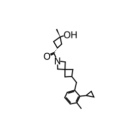 Cc1cccc(CC2CC3(C2)CN(C(=O)[C@H]2C[C@@](C)(O)C2)C3)c1C1CC1